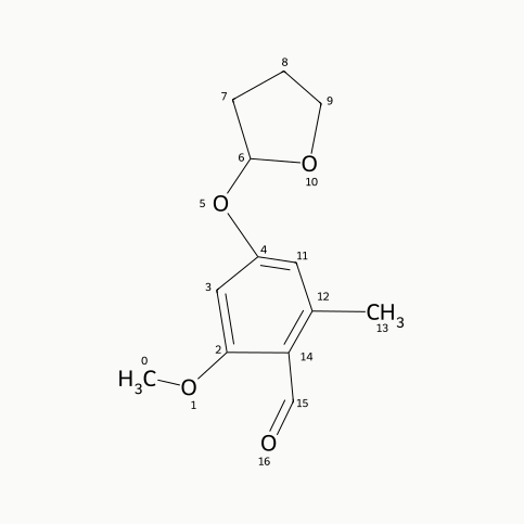 COc1cc(OC2CCCO2)cc(C)c1C=O